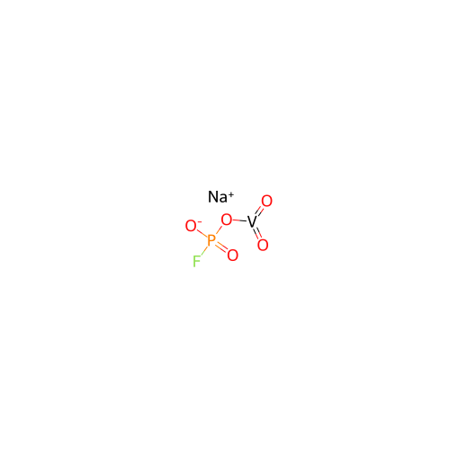 [Na+].[O]=[V](=[O])[O]P(=O)([O-])F